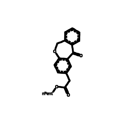 CCCCCOC(=O)Cc1ccc2c(c1)C(=O)c1ccccc1CO2